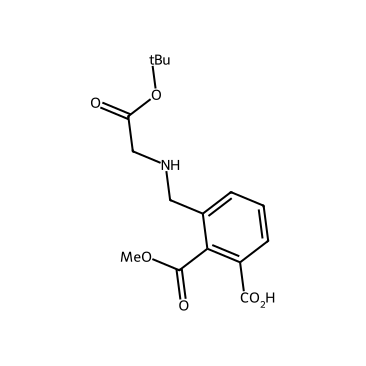 COC(=O)c1c(CNCC(=O)OC(C)(C)C)cccc1C(=O)O